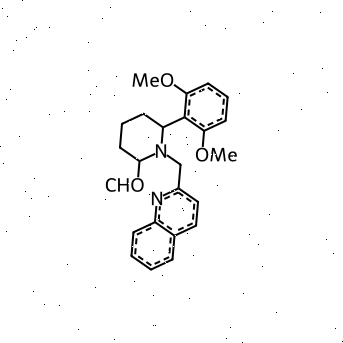 COc1cccc(OC)c1C1CCCC(C=O)N1Cc1ccc2ccccc2n1